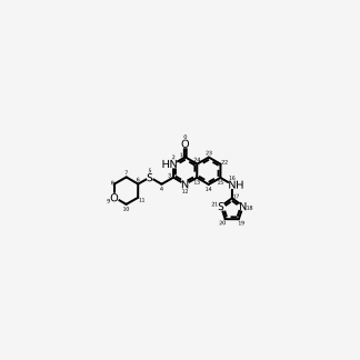 O=c1[nH]c(CSC2CCOCC2)nc2cc(Nc3nccs3)ccc12